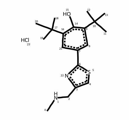 CNCc1csc(-c2cc(C(C)(C)C)c(O)c(C(C)(C)C)c2)n1.Cl